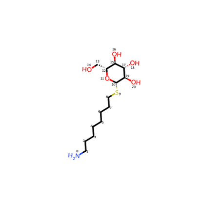 NCCCCCCCCS[C@@H]1O[C@H](CO)[C@@H](O)[C@H](O)[C@H]1O